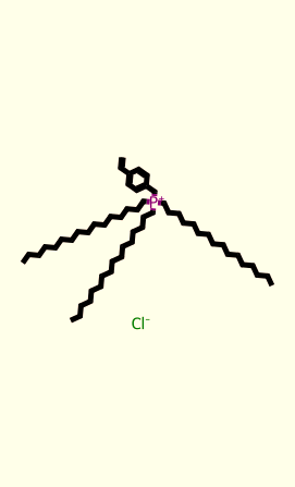 C=Cc1ccc(C[P+](CCCCCCCCCCCCCCCC)(CCCCCCCCCCCCCCCC)CCCCCCCCCCCCCCCC)cc1.[Cl-]